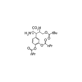 CCCC(=O)Oc1ccc(C(C(C)COC(=O)C(C)(C)C)[C@H](N)C(=O)O)cc1OC(=O)CCC